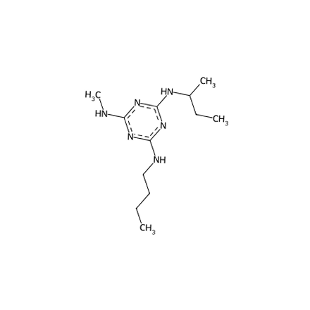 CCCCNc1nc(NC)nc(NC(C)CC)n1